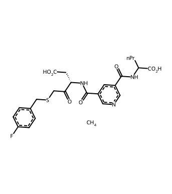 C.CCCC(NC(=O)c1cncc(C(=O)N[C@@H](CC(=O)O)C(=O)CSCc2ccc(F)cc2)c1)C(=O)O